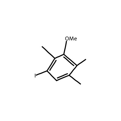 COc1c(C)c(C)cc(I)c1C